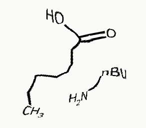 CCCC(=O)O.CCCCN